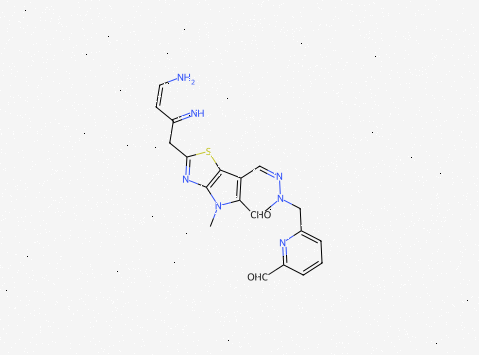 CN(Cc1cccc(C=O)n1)/N=C\c1c(C=O)n(C)c2nc(CC(=N)/C=C\N)sc12